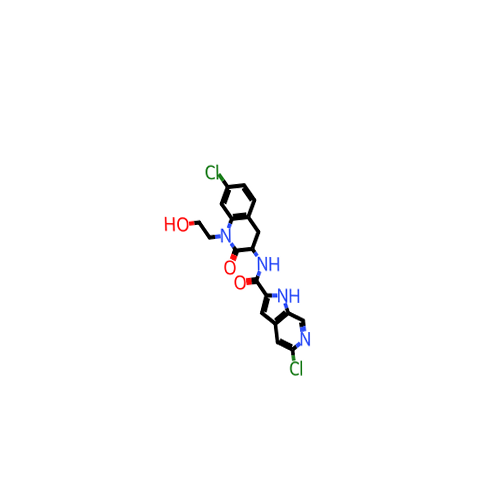 O=C(NC1Cc2ccc(Cl)cc2N(CCO)C1=O)c1cc2cc(Cl)ncc2[nH]1